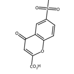 CS(=O)(=O)c1ccc2oc(C(=O)O)cc(=O)c2c1